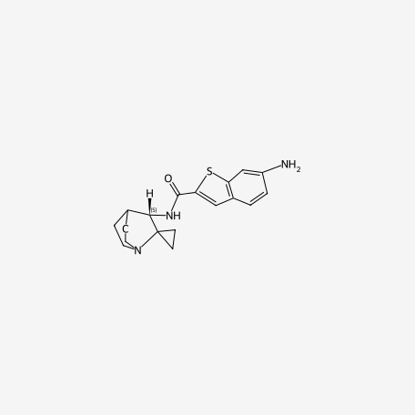 Nc1ccc2cc(C(=O)N[C@H]3C4CCN(CC4)C34CC4)sc2c1